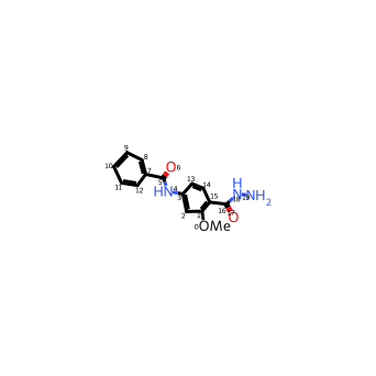 COc1cc(NC(=O)c2ccccc2)ccc1C(=O)NN